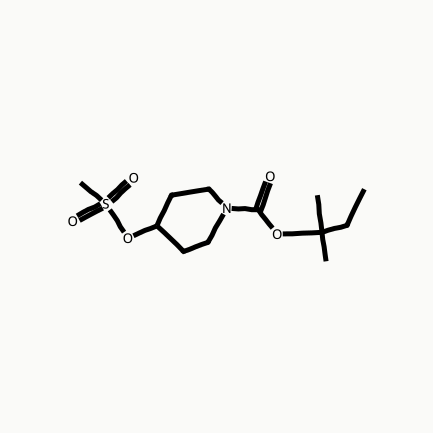 CCC(C)(C)OC(=O)N1CCC(OS(C)(=O)=O)CC1